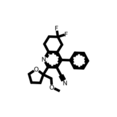 COCC1(c2nc3c(c(-c4ccccc4)c2C#N)CC(F)(F)CC3)CCCO1